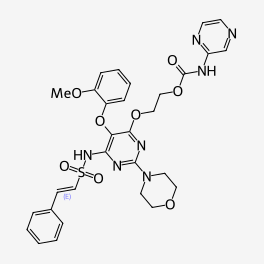 COc1ccccc1Oc1c(NS(=O)(=O)/C=C/c2ccccc2)nc(N2CCOCC2)nc1OCCOC(=O)Nc1cnccn1